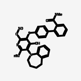 CCCCc1nc(ON=O)c(Sc2ccc(-c3ccccc3C(=O)NC)cc2)c(O)c1N1CCCCc2ccccc21